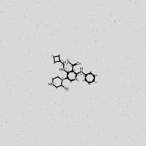 CC(=O)C1CNCCN1c1cnc(Nc2ccccc2)c(C(N)=O)c1NCC1CCC1